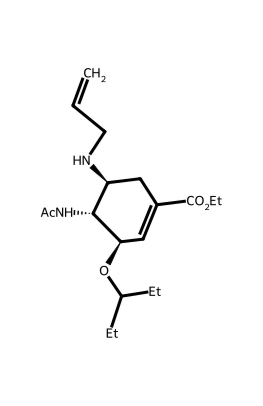 C=CCN[C@H]1CC(C(=O)OCC)=C[C@@H](OC(CC)CC)[C@@H]1NC(C)=O